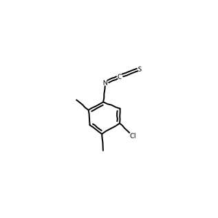 Cc1cc(C)c(N=C=S)cc1Cl